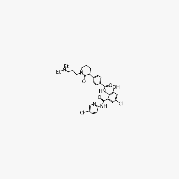 CCN(CC)CCCN1CCCC(c2ccc(C(=O)Nc3c(O)cc(Cl)cc3C(=O)Nc3ccc(Cl)cn3)cc2)C1=O